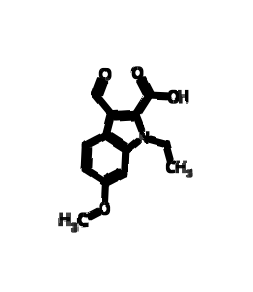 CCn1c(C(=O)O)c(C=O)c2ccc(OC)cc21